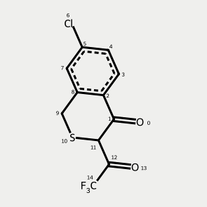 O=C1c2ccc(Cl)cc2CSC1C(=O)C(F)(F)F